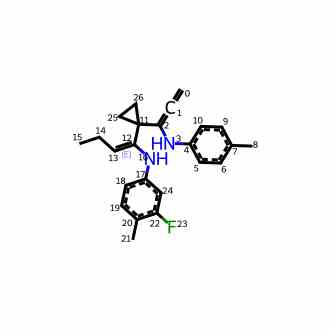 C=C=C(Nc1ccc(C)cc1)C1(/C(=C\CC)Nc2ccc(C)c(F)c2)CC1